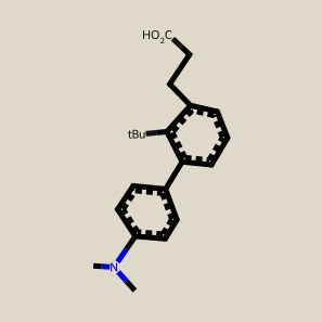 CN(C)c1ccc(-c2cccc(CCC(=O)O)c2C(C)(C)C)cc1